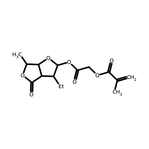 C=C(C)C(=O)OCC(=O)OC1OC2C(C)OC(=O)C2C1CC